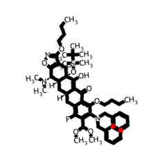 CCCCOc1noc2c1C(=O)[C@@]1(O[Si](C)(C)C(C)(C)C)C(O)=C3C(=O)c4c(c(F)c(C(OC)OC)c(N(Cc5ccccc5)Cc5ccccc5)c4OCCCC)C[C@H]3C[C@H]1[C@@H]2N(C)C